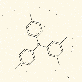 Cc1ccc(P(c2ccc(C)cc2)c2cc(C)cc(C)c2)cc1